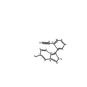 Cc1ccc2c(-c3ccccc3C#N)scc2c1